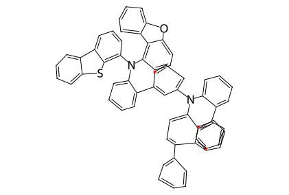 c1ccc(-c2ccccc2N(c2cccc(-c3ccccc3N(c3cccc4c3sc3ccccc34)c3cccc4oc5ccccc5c34)c2)c2ccc(-c3ccccc3)c3ccccc23)cc1